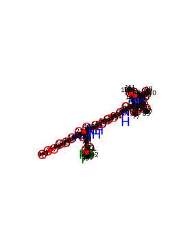 COCCOCCOCCOCCOCCOCCNC(=O)CC[C@H](NC(=O)CCCCC(=O)Oc1c(F)c(F)cc(F)c1F)C(=O)NCCOCCOCCOCCOCCOCCNC(=O)CCC(C(=O)OC(C)(C)C)N1CCN(CC(=O)OC(C)(C)C)CCN(CC(=O)OC(C)(C)C)CCN(CC(=O)OC(C)(C)C)CC1